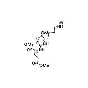 COC(=O)CC[C@H](NC(=O)N[C@@H](CCCCNC(C)C)C(=O)OC)C(=O)OC